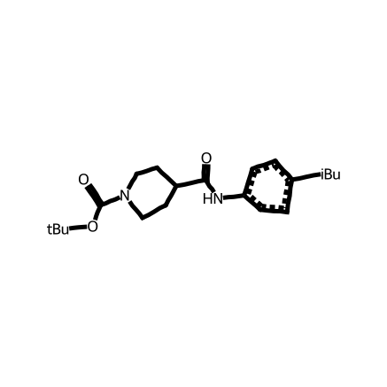 CCC(C)c1ccc(NC(=O)C2CCN(C(=O)OC(C)(C)C)CC2)cc1